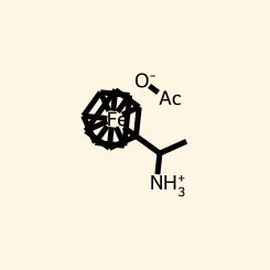 CC(=O)[O-].CC([NH3+])[C]12[CH]3[CH]4[CH]5[CH]1[Fe]45321678[CH]2[CH]1[CH]6[CH]7[CH]28